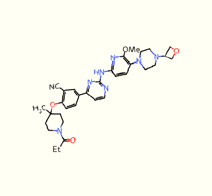 CCC(=O)N1CCC(C)(Oc2ccc(-c3ccnc(Nc4ccc(N5CCN(C6COC6)CC5)c(OC)n4)n3)cc2C#N)CC1